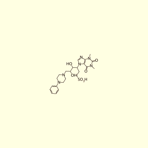 Cn1c(=O)c2c(ncn2C(CCS(=O)(=O)O)C(O)C(O)CN2CCN(c3ccccc3)CC2)n(C)c1=O